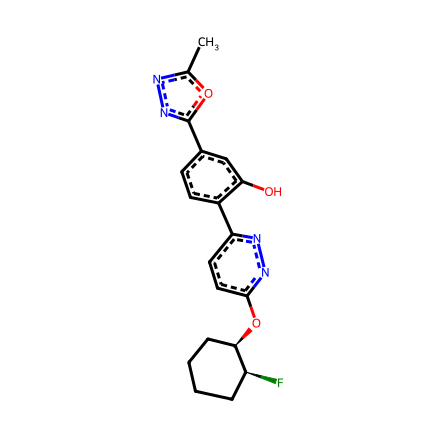 Cc1nnc(-c2ccc(-c3ccc(O[C@@H]4CCCC[C@@H]4F)nn3)c(O)c2)o1